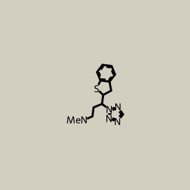 CNCCC(C1Cc2ccccc2S1)n1ncnn1